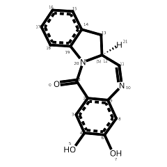 O=C1c2cc(O)c(O)cc2N=C[C@@H]2Cc3ccccc3N12